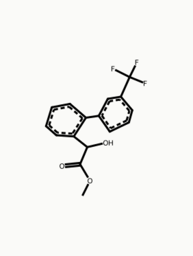 COC(=O)C(O)c1ccccc1-c1cccc(C(F)(F)F)c1